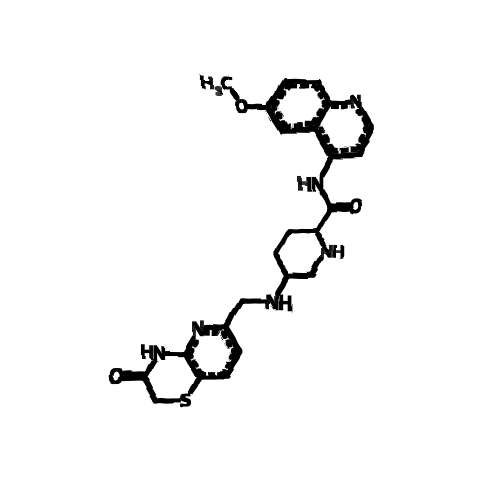 COc1ccc2nccc(NC(=O)C3CCC(NCc4ccc5c(n4)NC(=O)CS5)CN3)c2c1